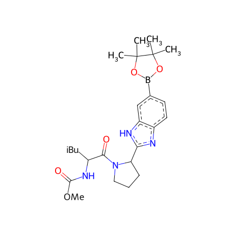 CCC(C)C(NC(=O)OC)C(=O)N1CCCC1c1nc2ccc(B3OC(C)(C)C(C)(C)O3)cc2[nH]1